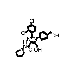 O=C(NN1CCCCC1)c1nc(-c2ccc(Cl)cc2Cl)n(-c2ccc(CO)cc2)c1CO